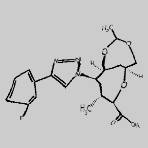 CC1OC[C@H]2O[C@@H](C(=O)O)[C@H](C)[C@@H](n3cc(-c4cccc(F)c4)nn3)[C@H]2O1